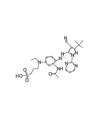 CCN(CCCS(=O)(=O)O)c1ccc(/N=N/c2c(C#N)c(C(C)(C)C)nn2-c2ncccn2)c(NC(C)=O)c1